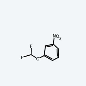 O=[N+]([O-])c1cccc(OC(F)F)c1